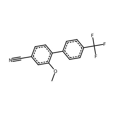 COc1cc(C#N)ccc1-c1ccc(C(F)(F)F)cc1